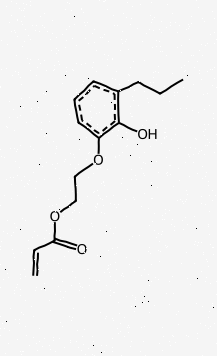 C=CC(=O)OCCOc1cccc(CCC)c1O